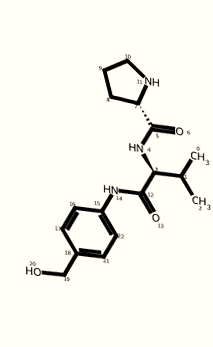 CC(C)[C@H](NC(=O)[C@@H]1CCCN1)C(=O)Nc1ccc(CO)cc1